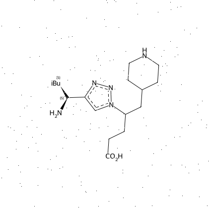 CC[C@H](C)[C@H](N)c1cn(C(CCC(=O)O)CC2CCNCC2)nn1